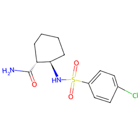 NC(=O)[C@@H]1CCCC[C@H]1NS(=O)(=O)c1ccc(Cl)cc1